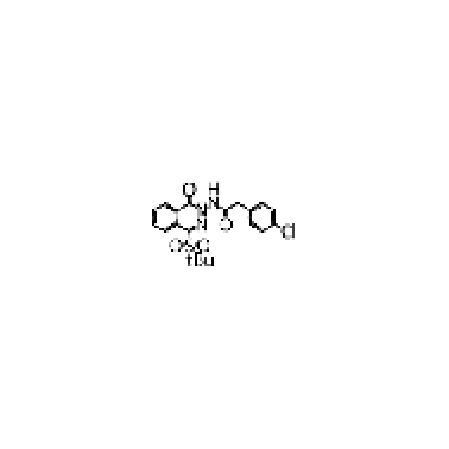 CC(C)(C)S(=O)(=O)c1nn(NC(=O)Cc2ccc(Cl)cc2)c(=O)c2ccccc12